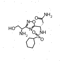 NC(=O)C[C@H](NS(=O)(=O)C1CCCCC1)c1nc([C@@H](N)CO)no1